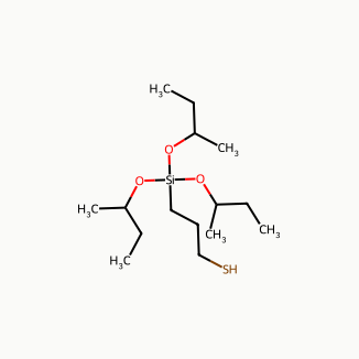 CCC(C)O[Si](CCCS)(OC(C)CC)OC(C)CC